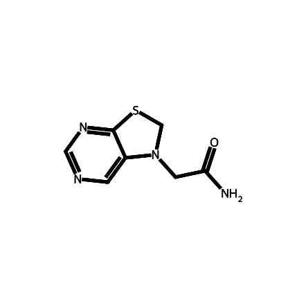 NC(=O)CN1CSc2ncncc21